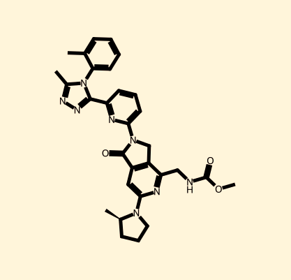 COC(=O)NCc1nc(N2CCC[C@H]2C)cc2c1CN(c1cccc(-c3nnc(C)n3-c3ccccc3C)n1)C2=O